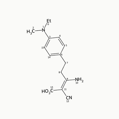 CCN(C)c1ccc(CCC(N)=C(C#N)C(=O)O)cc1